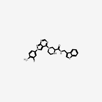 Cc1ccc(-n2cc3c(N4CCNC(C(=O)NCc5csc6ccccc56)C4)ncnc3n2)cc1F